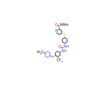 CNC(=O)c1cc(Sc2ccc(NC(=O)Nc3ccc(CN4CCN(C)CC4)c(C(F)(F)F)c3)cc2)ccn1